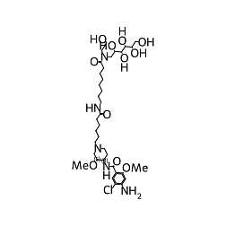 COc1cc(N)c(Cl)cc1C(=O)N[C@@H]1CCN(CCCCCC(=O)NCCCCCCCC(=O)N(CCO)CC(O)C(O)C(O)C(O)CO)C[C@@H]1OC